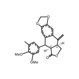 C=C1c2cc3c(cc2C(c2cc(C)c(OC)c(OC)c2)[C@@H]2C(=O)OC[C@H]12)OCO3